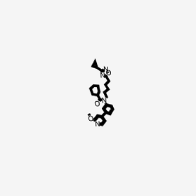 COc1cc(-c2cccc(N(CCCCCc3nc(C4CC4)no3)C(=O)C3CCCCC3)c2)ccn1